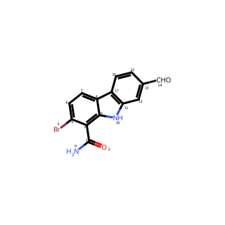 NC(=O)c1c(Br)ccc2c1[nH]c1cc(C=O)ccc12